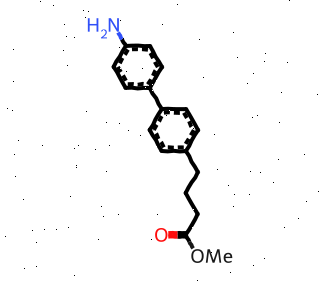 COC(=O)CCCc1ccc(-c2ccc(N)cc2)cc1